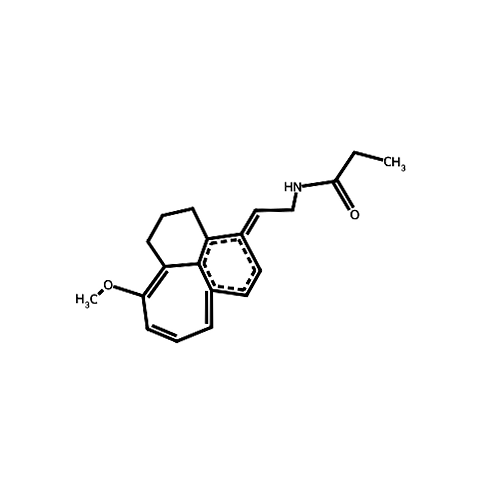 CCC(=O)NCC=c1ccc2c3c1CCCC3=C(OC)C=CC=2